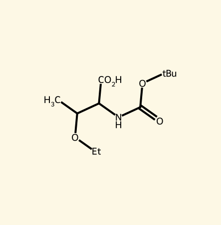 CCOC(C)C(NC(=O)OC(C)(C)C)C(=O)O